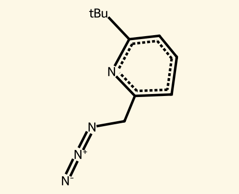 CC(C)(C)c1cccc(CN=[N+]=[N-])n1